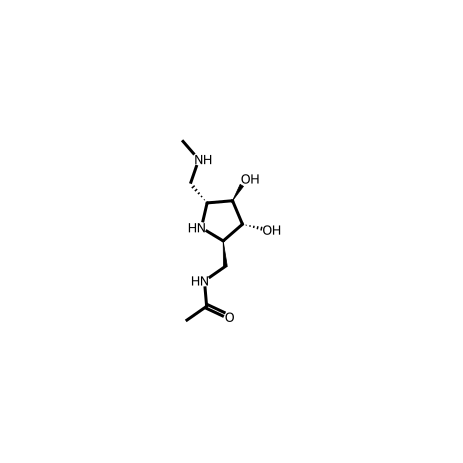 CNC[C@H]1N[C@H](CNC(C)=O)[C@@H](O)[C@@H]1O